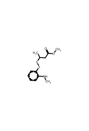 CNc1ccccc1SSC(C)CC(=O)OC